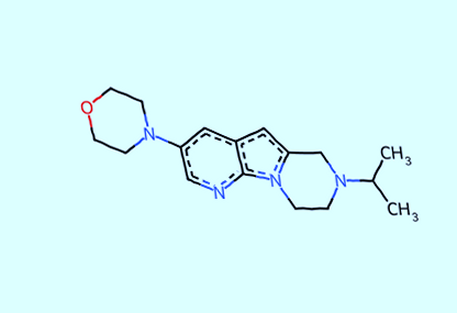 CC(C)N1CCn2c(cc3cc(N4CCOCC4)cnc32)C1